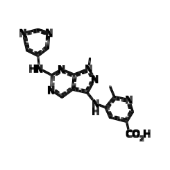 Cc1ncc(C(=O)O)cc1Nc1nn(C)c2nc(Nc3cncnc3)ncc12